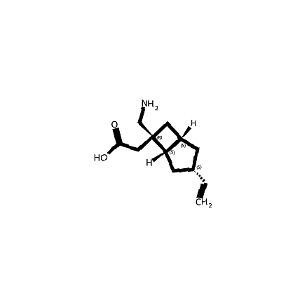 C=C[C@H]1C[C@H]2C[C@@](CN)(CC(=O)O)[C@H]2C1